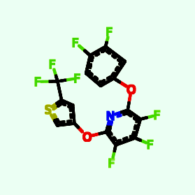 Fc1ccc(Oc2nc(Oc3csc(C(F)(F)F)c3)c(F)c(F)c2F)cc1F